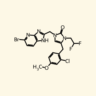 COc1ccc(Cc2cn(Cc3nc4nc(Br)ccc4[nH]3)c(=O)n2CC(F)F)c(Cl)c1